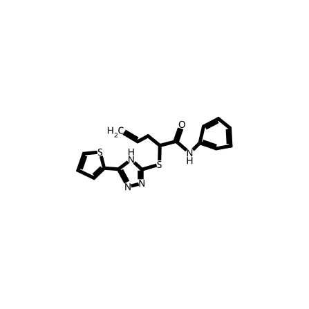 C=CCC(Sc1nnc(-c2cccs2)[nH]1)C(=O)Nc1ccccc1